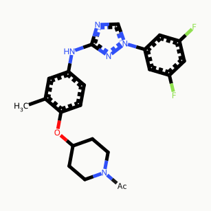 CC(=O)N1CCC(Oc2ccc(Nc3ncn(-c4cc(F)cc(F)c4)n3)cc2C)CC1